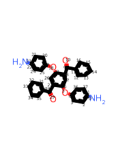 Nc1ccc(Oc2cc(C(=O)c3ccccc3)c(Oc3ccc(N)cc3)cc2C(=O)c2ccccc2)cc1